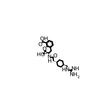 N=C(N)NC[C@H]1CC[C@H](CC(=O)N[C@H]2Cc3cccc(C(=O)O)c3OB2O)CC1